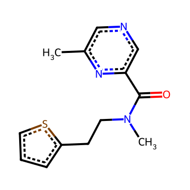 Cc1cncc(C(=O)N(C)CCc2cccs2)n1